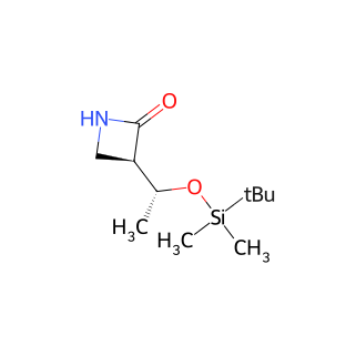 C[C@@H](O[Si](C)(C)C(C)(C)C)[C@H]1CNC1=O